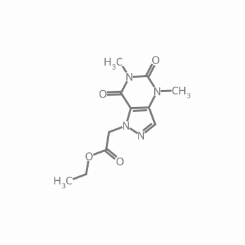 CCOC(=O)Cn1ncc2c1c(=O)n(C)c(=O)n2C